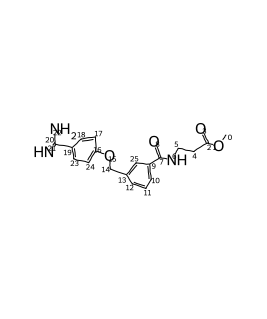 COC(=O)CCNC(=O)c1cccc(COc2ccc(C(=N)N)cc2)c1